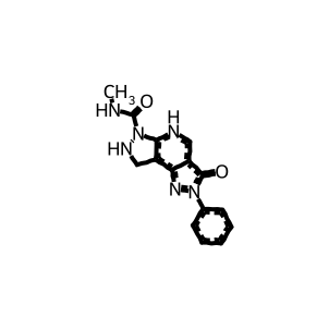 CNC(=O)N1NCc2c3nn(-c4ccccc4)c(=O)c-3c[nH]c21